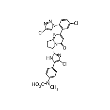 CN(C(=O)O)c1ccc(-c2[nH]c([C@@H]3CCc4nc(-c5cc(Cl)ccc5-n5cc(Cl)nn5)cc(=O)n43)nc2Cl)cc1